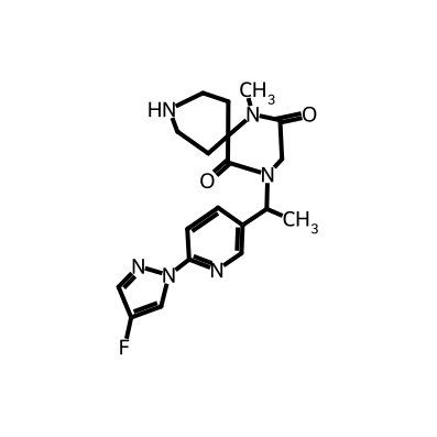 CC(c1ccc(-n2cc(F)cn2)nc1)N1CC(=O)N(C)C2(CCNCC2)C1=O